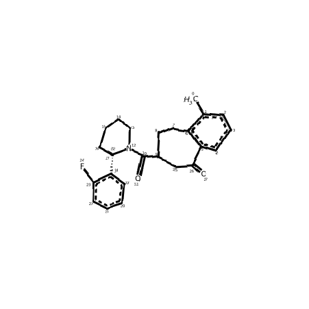 Cc1cccc2c1CCC(C(=O)N1CCCC[C@H]1c1ccccc1F)CC2=O